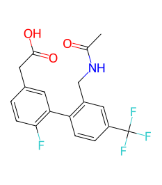 CC(=O)NCc1cc(C(F)(F)F)ccc1-c1cc(CC(=O)O)ccc1F